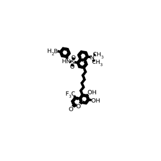 Bc1cccc(NS(=O)(=O)c2cc(CCCCCCc3c(O)c(O)cc4oc(=O)cc(C(F)(F)F)c34)cc3c(N(C)C)cccc23)c1